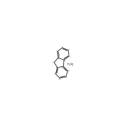 [SeH2].c1ccc2c(c1)Cc1ccccc1-2